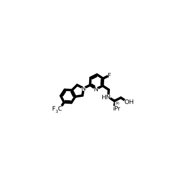 CC(C)[C@H](CO)NCc1nc(N2Cc3ccc(C(F)(F)F)cc3C2)ccc1F